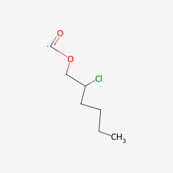 CCCCC(Cl)CO[C]=O